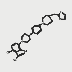 N#Cc1c[nH]c2c(N3CCC(c4ccc(N5CCC(CC6OCCO6)CC5)cc4)CC3)ccc(Cl)c12